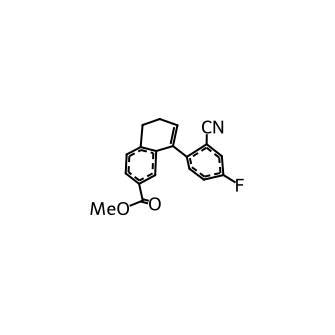 COC(=O)c1ccc2c(c1)C(c1ccc(F)cc1C#N)=CCC2